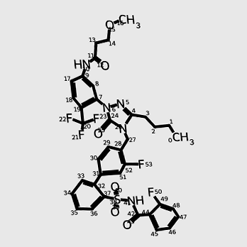 CCCCc1nn(-c2cc(NC(=O)CCOC)ccc2C(F)(F)F)c(=O)n1Cc1ccc(-c2ccccc2S(=O)(=O)NC(=O)c2ccccc2F)cc1F